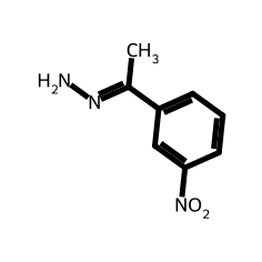 CC(=NN)c1cccc([N+](=O)[O-])c1